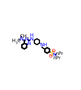 CCCN(CCC)S(=O)(=O)c1ccc(CN[C@H]2CC[C@@H](Nc3nc(N(C)C)c4ccccc4n3)CC2)cc1